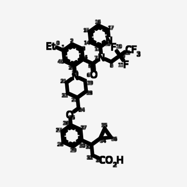 CCc1ccc(C(=O)N(CC(F)(F)C(F)(F)F)c2ccccn2)c(N2CCC(COc3cccc(C(CC(=O)O)C4CC4)c3)CC2)c1